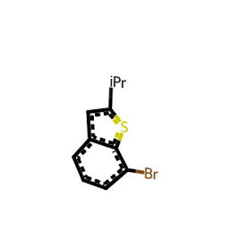 CC(C)c1cc2cccc(Br)c2s1